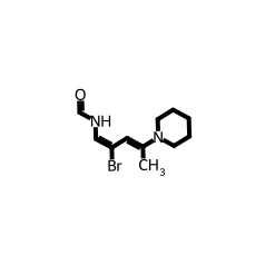 C/C(=C\C(Br)=C/NC=O)N1CCCCC1